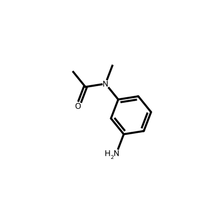 CC(=O)N(C)c1cccc(N)c1